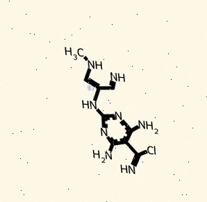 CN/C=C(\C=N)Nc1nc(N)c(C(=N)Cl)c(N)n1